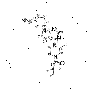 CC1CN(C(=O)OC(C)(C)C)CCN1c1ncnc2c1ccn2C1CCCC(C#N)C1